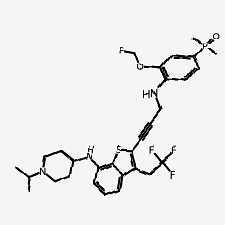 CC(C)N1CCC(Nc2cccc3c(CC(F)(F)F)c(C#CCNc4ccc(P(C)(C)=O)cc4OCF)sc23)CC1